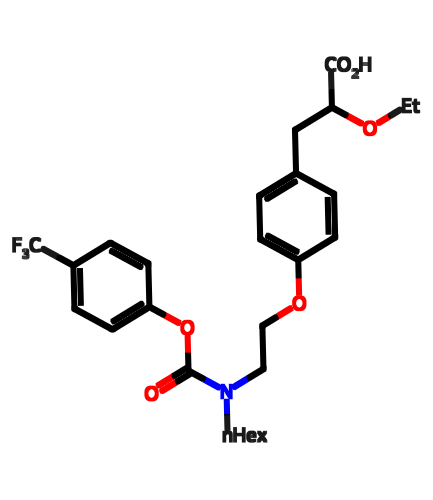 CCCCCCN(CCOc1ccc(CC(OCC)C(=O)O)cc1)C(=O)Oc1ccc(C(F)(F)F)cc1